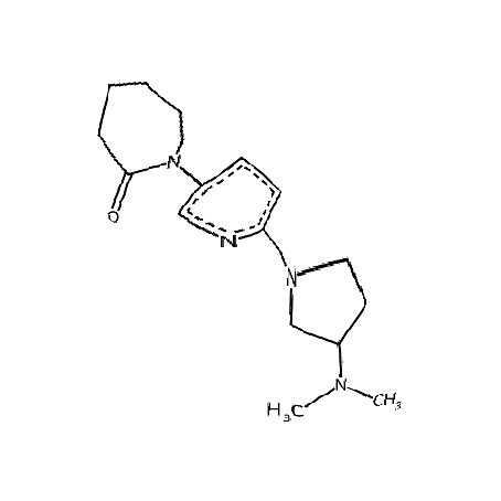 CN(C)C1CCN(c2ccc(N3CCCCC3=O)cn2)C1